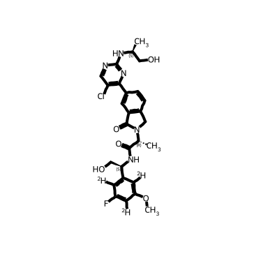 [2H]c1c(F)c([2H])c([C@@H](CO)NC(=O)[C@@H](C)N2Cc3ccc(-c4nc(N[C@@H](C)CO)ncc4Cl)cc3C2=O)c([2H])c1OC